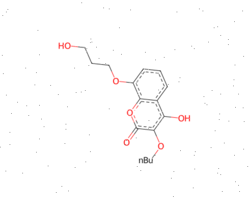 CCCCOc1c(O)c2cccc(OCCCO)c2oc1=O